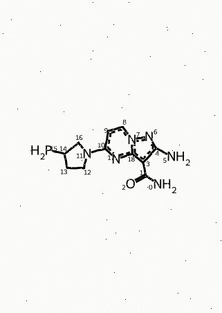 NC(=O)c1c(N)nn2ccc(N3CCC(P)C3)nc12